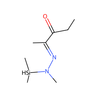 CCC(=O)C(C)=NN(C)[SiH](C)C